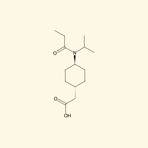 CCC(=O)N(C(C)C)[C@H]1CC[C@H](CC(=O)O)CC1